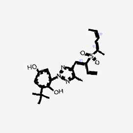 C=C/C(=C\c1nn(-c2cc(O)cc(C(C)(C)C)c2O)nc1C)S(=O)(=O)/C(C)=C/C=C\C